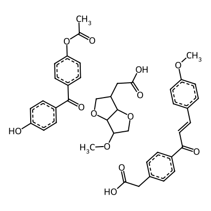 CC(=O)Oc1ccc(C(=O)c2ccc(O)cc2)cc1.COC1COC2C(CC(=O)O)COC12.COc1ccc(/C=C/C(=O)c2ccc(CC(=O)O)cc2)cc1